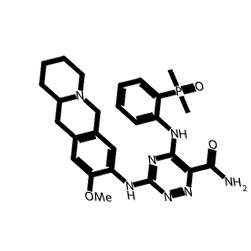 COc1cc2c(cc1Nc1nnc(C(N)=O)c(Nc3ccccc3P(C)(C)=O)n1)CN1CCCCC1C2